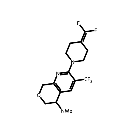 CNC1COCc2nc(N3CCC(=C(F)F)CC3)c(C(F)(F)F)cc21